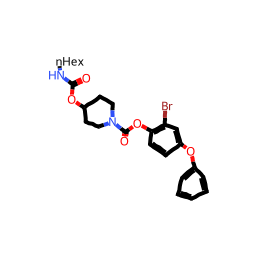 CCCCCCNC(=O)OC1CCN(C(=O)Oc2ccc(Oc3ccccc3)cc2Br)CC1